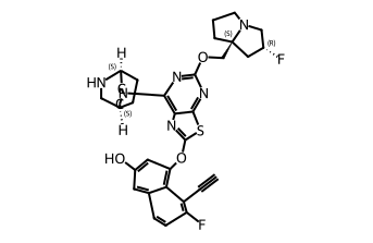 C#Cc1c(F)ccc2cc(O)cc(Oc3nc4c(N5C[C@H]6CC[C@@H](C5)NC6)nc(OC[C@@]56CCCN5C[C@H](F)C6)nc4s3)c12